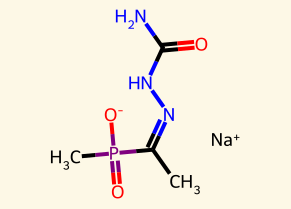 CC(=NNC(N)=O)P(C)(=O)[O-].[Na+]